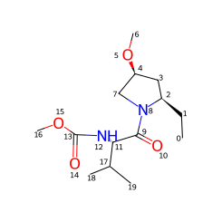 CC[C@@H]1C[C@H](OC)CN1C(=O)[C@@H](NC(=O)OC)C(C)C